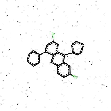 Brc1ccc2cc3c(-c4ccccc4)cc(Br)cc3c(-c3ccccc3)c2c1